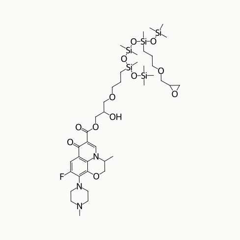 CC1COc2c(N3CCN(C)CC3)c(F)cc3c(=O)c(C(=O)OCC(O)COCCC[Si](C)(O[Si](C)(C)C)O[Si](C)(C)O[Si](C)(CCCOCC4CO4)O[Si](C)(C)C)cn1c23